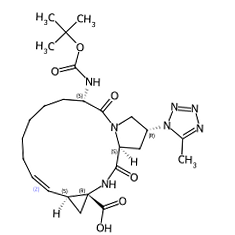 Cc1nnnn1[C@@H]1C[C@H]2C(=O)N[C@]3(C(=O)O)C[C@H]3/C=C\CCCCC[C@H](NC(=O)OC(C)(C)C)C(=O)N2C1